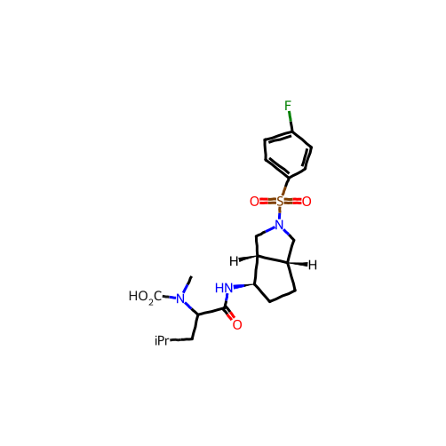 CC(C)CC(C(=O)N[C@@H]1CC[C@H]2CN(S(=O)(=O)c3ccc(F)cc3)C[C@H]21)N(C)C(=O)O